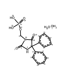 O.O.O=C1NC(c2ccccc2)(c2ccccc2)C(=O)N1COP(=O)(O)O